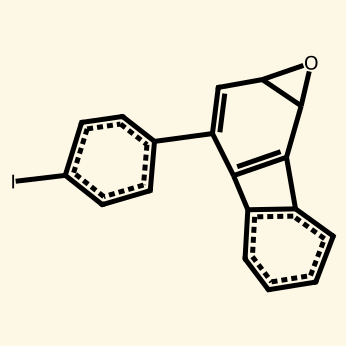 Ic1ccc(C2=CC3OC3C3=C2c2ccccc23)cc1